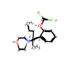 CCCC(C)(c1ccccc1OC(F)F)N1CCOCC1